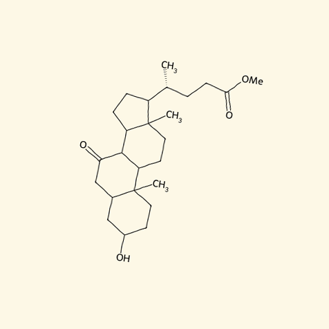 COC(=O)CC[C@@H](C)C1CCC2C3C(=O)CC4CC(O)CCC4(C)C3CCC21C